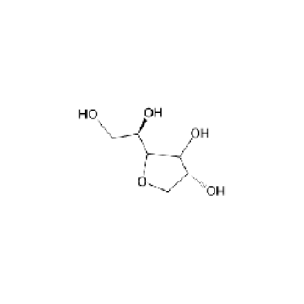 OC[C@@H](O)C1OC[C@@H](O)C1O